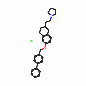 Cl.c1ccc(-c2ccc(COc3ccc4c(c3)CCC(CCN3CCCC3)C4)cc2)cc1